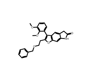 COc1cccc(-c2c(CCOCc3ccccc3)oc3cc4c(cc23)CC(=O)N4)c1OC